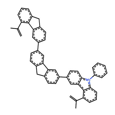 C=C(C)c1cccc2c1-c1cc(-c3ccc4c(c3)-c3cc(-c5ccc6c(c5)c5c(C(=C)C)cccc5n6-c5ccccc5)ccc3C4)ccc1C2